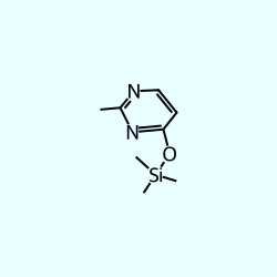 Cc1nccc(O[Si](C)(C)C)n1